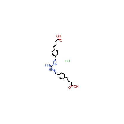 Cl.N=C(NN=Cc1ccc(C=CCC(=O)O)cc1)NN=Cc1ccc(C=CCC(=O)O)cc1